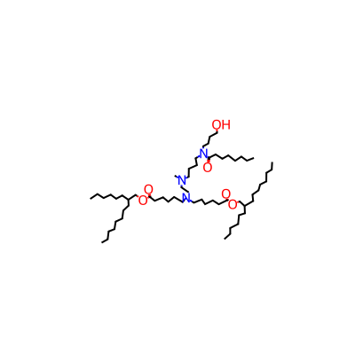 CCCCCCCCC(CCCCCC)COC(=O)CCCCCN(CCCCCC(=O)OCC(CCCCCC)CCCCCCCC)CCN(C)CCCCN(CCCCO)C(=O)CCCCCCC